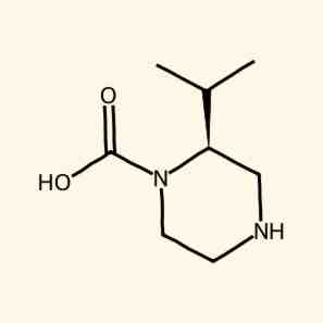 CC(C)[C@H]1CNCCN1C(=O)O